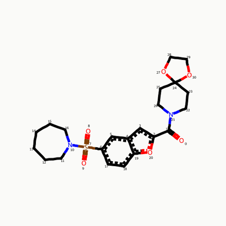 O=C(c1cc2cc(S(=O)(=O)N3CCCCCC3)ccc2o1)N1CCC2(CC1)OCCO2